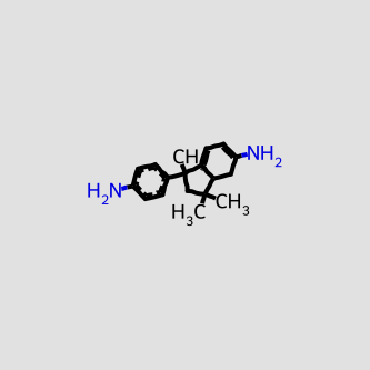 CC1(c2ccc(N)cc2)CC(C)(C)C2CC(N)=CC=C21